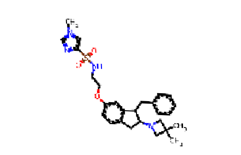 Cn1cnc(S(=O)(=O)NCCOc2ccc3c(c2)C(Cc2ccccc2)C(N2CC(C)(C)C2)C3)c1